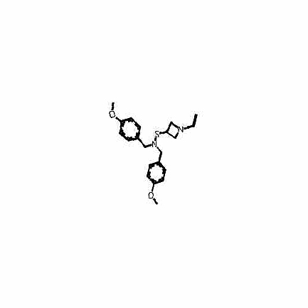 CCN1CC(SN(Cc2ccc(OC)cc2)Cc2ccc(OC)cc2)C1